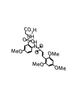 COc1cc(OC)c(C=CS(=O)(=O)Nc2ccc(OC)cc2S(=O)(=O)NCC(=O)O)c(OC)c1